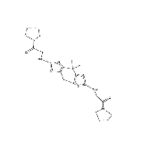 CC1(C)c2nc(NCC(=O)N3CCCC3)sc2Cc2sc(NCC(=O)N3CCCC3)nc21